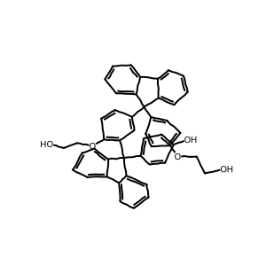 OCCOc1ccc(C2(c3ccc(OCCO)c(C4(c5ccc(O)cc5)c5ccccc5-c5ccccc54)c3)c3ccccc3-c3ccccc32)cc1